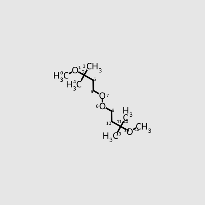 COC(C)(C)CCOOCCC(C)(C)OC